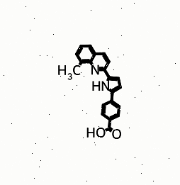 Cc1cccc2ccc(-c3ccc(-c4ccc(C(=O)O)cc4)[nH]3)nc12